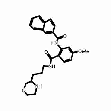 COc1ccc(C(=O)NCCCC2COCCN2)c(NC(=O)c2ccc3ccccc3c2)c1